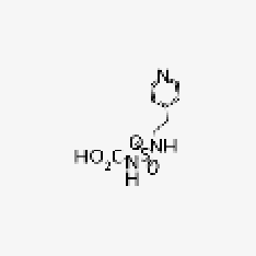 O=C(O)NS(=O)(=O)NCCc1ccncc1